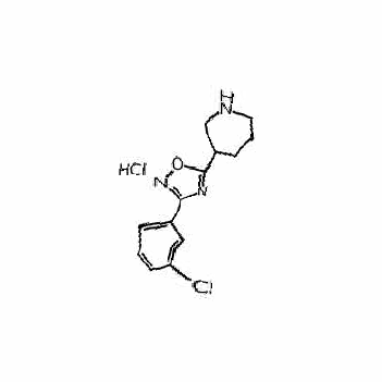 Cl.Clc1cccc(-c2noc(C3CCCNC3)n2)c1